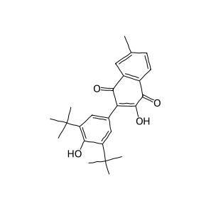 Cc1ccc2c(c1)C(=O)C(c1cc(C(C)(C)C)c(O)c(C(C)(C)C)c1)=C(O)C2=O